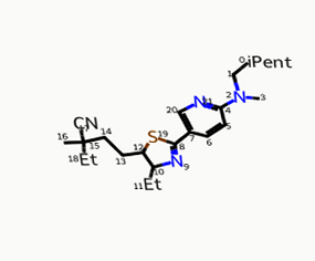 CCCC(C)CN(C)c1ccc(C2=NC(CC)C(CCC(C)(C#N)CC)S2)cn1